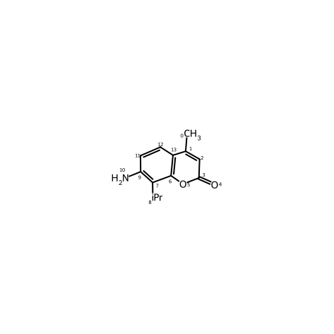 Cc1cc(=O)oc2c(C(C)C)c(N)ccc12